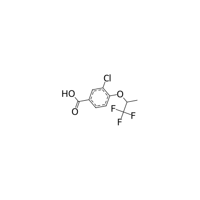 CC(Oc1ccc(C(=O)O)cc1Cl)C(F)(F)F